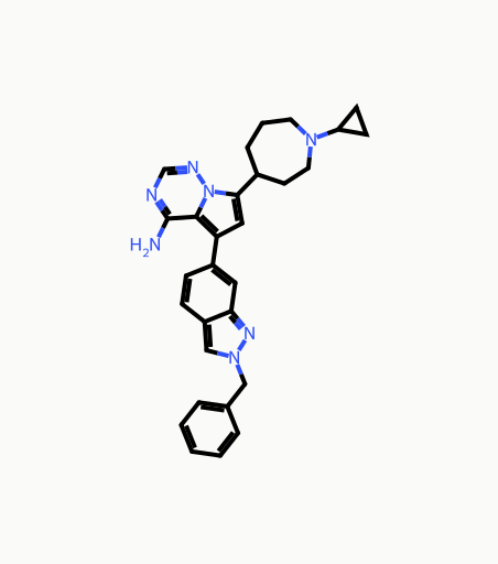 Nc1ncnn2c(C3CCCN(C4CC4)CC3)cc(-c3ccc4cn(Cc5ccccc5)nc4c3)c12